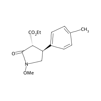 CCOC(=O)[C@H]1C(=O)N(OC)C[C@@H]1c1ccc(C)cc1